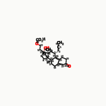 C=C=C[C@H]1C[C@@]2(C)[C@@H](CC[C@@]2(O)CCOC(=O)O)[C@@H]2CCC3=CC(=O)CCC3=C21